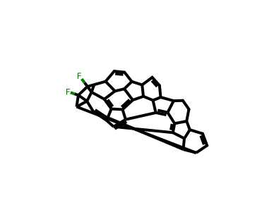 FC12C3C4C=CC5C6C=CC7C8CCC9c%10c8c8c%11c%12c%10C%10C9C=CC9C%10C%10=C%12C%12=C(C4C5C(=C%12%11)C6C87)C31C%101C9C21F